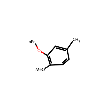 CCCOc1cc(C)ccc1OC